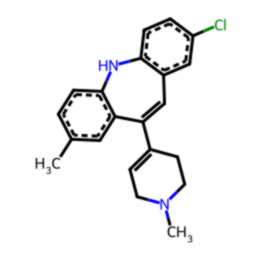 Cc1ccc2c(c1)C(C1=CCN(C)CC1)=Cc1cc(Cl)ccc1N2